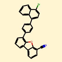 N#Cc1cccc2c1oc1c(-c3ccc(-c4ccc(Br)c5ccccc45)cc3)cccc12